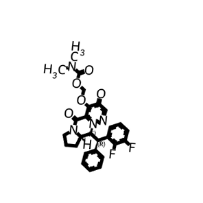 CN(C)C(=O)OCOc1c2n(ncc1=O)[C@@H]([C@H](c1ccccc1)c1cccc(F)c1F)[C@H]1CCCN1C2=O